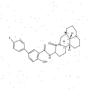 O=C(NC1CC[C@@H]2[C@H]3CCCN4CCC[C@@H](CN2C1=O)[C@@H]34)c1cc(-c2ccc(F)cc2)ccc1O